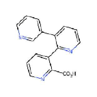 O=C(O)c1ncccc1-c1ncccc1-c1cccnc1